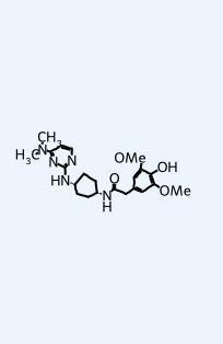 COc1cc(CC(=O)N[C@H]2CC[C@@H](Nc3nccc(N(C)C)n3)CC2)cc(OC)c1O